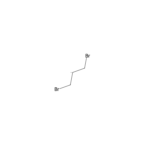 BrC[CH]CBr